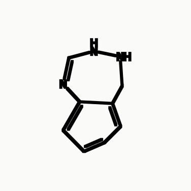 C1=Nc2ccccc2CNN1